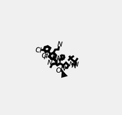 Cc1nnn(C2CC(c3cc4c(C)nc5c(F)c(-c6cccc(Cl)c6Cl)c(CCC#N)cc5c4n3C3C4CNC3C4)N(C(=O)C3CC3)C2)c1C(C)(C)C